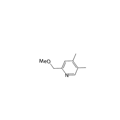 COCc1cc(C)c(C)cn1